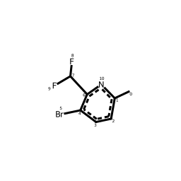 Cc1ccc(Br)c(C(F)F)n1